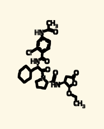 CCO[C@@H]1OC(=O)C[C@@H]1NC(=O)[C@@H]1CCCN1C(=O)[C@@H](NC(=O)c1ccc(NC(C)=O)cc1Cl)C1CCCCC1